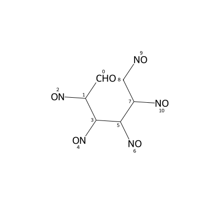 O=CC(N=O)C(N=O)C(N=O)C(CN=O)N=O